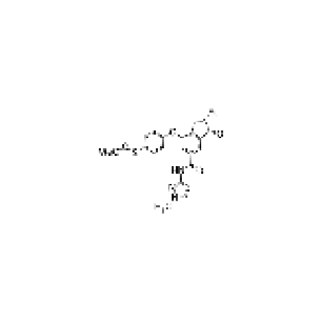 CCN1Cc2c(Oc3ccc(SOOC)cc3)cc(C(=O)Nc3ccn(C)n3)cc2C1=O